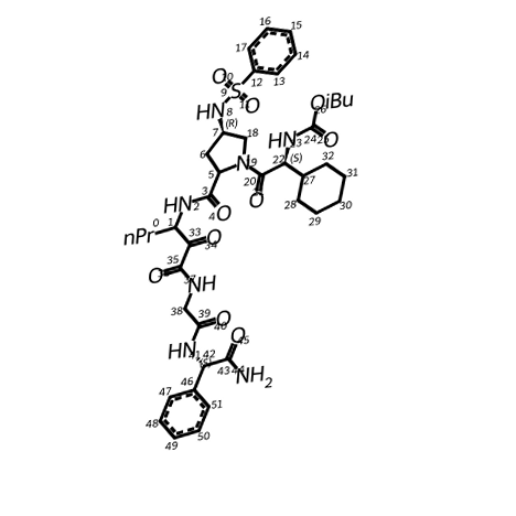 CCCC(NC(=O)C1C[C@@H](NS(=O)(=O)c2ccccc2)CN1C(=O)[C@@H](NC(=O)OCC(C)C)C1CCCCC1)C(=O)C(=O)NCC(=O)N[C@H](C(N)=O)c1ccccc1